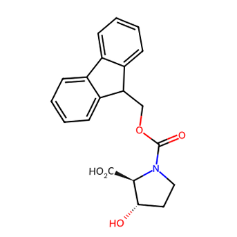 O=C(O)[C@@H]1[C@@H](O)CCN1C(=O)OCC1c2ccccc2-c2ccccc21